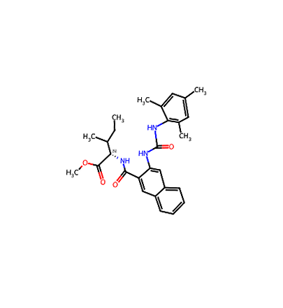 CCC(C)[C@H](NC(=O)c1cc2ccccc2cc1NC(=O)Nc1c(C)cc(C)cc1C)C(=O)OC